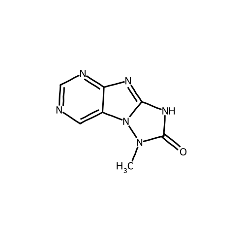 Cn1c(=O)[nH]c2nc3ncncc3n21